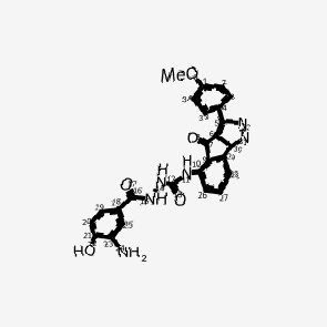 COc1ccc(C2=C3C(=O)c4c(NC(=O)NNC(=O)c5ccc(O)c(N)c5)cccc4C3N=N2)cc1